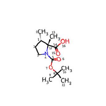 C[C@H]1CCN(C(=O)OC(C)(C)C)[C@@]1(C)C(=O)O